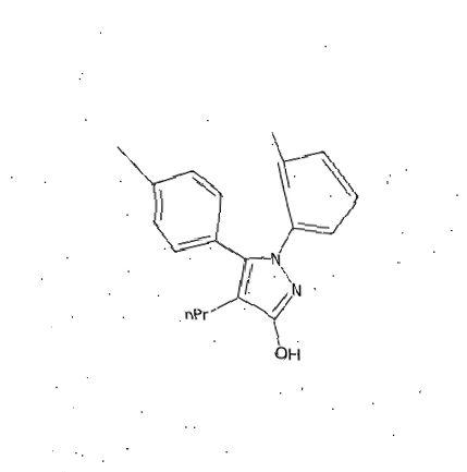 CCCc1c(O)nn(-c2cccc(C)c2)c1-c1ccc(C)cc1